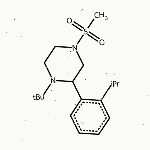 CC(C)c1ccccc1C1CN(S(C)(=O)=O)CCN1C(C)(C)C